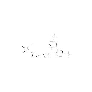 CC(C)(C)c1ccc2c(c1)c1cc(C(C)(C)C)ccc1n2-c1ccc(-c2ccc(-c3c(O)c(=O)c3=O)s2)s1